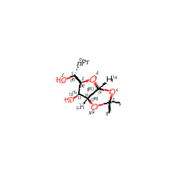 CCC[C@@H](O)[C@H]1O[C@@H]2OC(C)(C)O[C@@H]2[C@H]1O